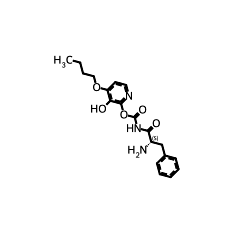 CCCCOc1ccnc(OC(=O)NC(=O)[C@@H](N)Cc2ccccc2)c1O